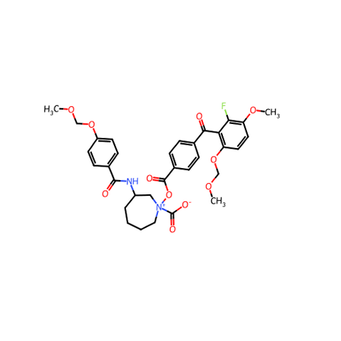 COCOc1ccc(C(=O)NC2CCCC[N+](OC(=O)c3ccc(C(=O)c4c(OCOC)ccc(OC)c4F)cc3)(C(=O)[O-])C2)cc1